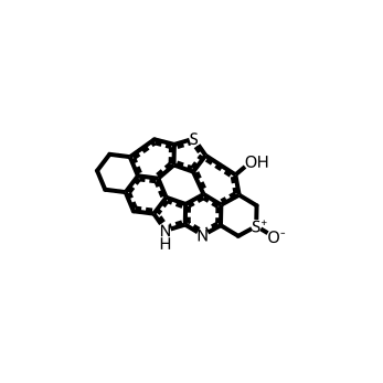 [O-][S+]1Cc2nc3[nH]c4cc5c6c(cc7sc8c(O)c(c2c2c3c4c6c7c82)C1)CCC5